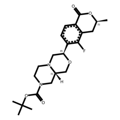 C[C@H]1Cc2c(ccc([C@@H]3CN4CCN(C(=O)OC(C)(C)C)C[C@H]4CO3)c2F)C(=O)O1